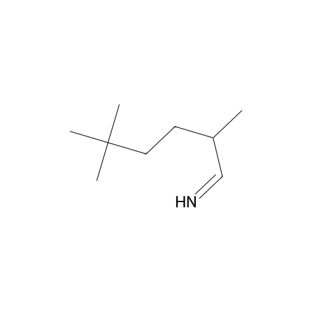 CC(C=N)CCC(C)(C)C